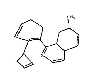 C[C@@H]1C=CC2C=CN=C(C3=C(C4C=CC4)C=CCC3)C2C1